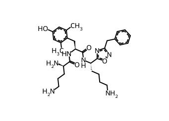 Cc1cc(O)cc(C)c1C[C@H](NC(=O)[C@H](N)CCCN)C(=O)N[C@@H](CCCCN)c1nc(Cc2ccccc2)no1